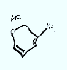 Cl.NC1=CC=COC1